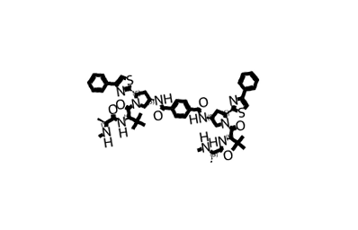 CN[C@@H](C)C(=O)N[C@H](C(=O)N1C[C@@H](NC(=O)c2ccc(C(=O)N[C@H]3C[C@@H](c4nc(-c5ccccc5)cs4)N(C(=O)[C@@H](NC(=O)[C@H](C)NC)C(C)(C)C)C3)cc2)C[C@H]1c1nc(-c2ccccc2)cs1)C(C)(C)C